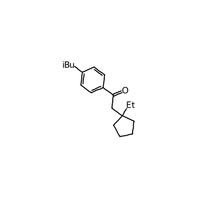 CCC(C)c1ccc(C(=O)CC2(CC)CCCC2)cc1